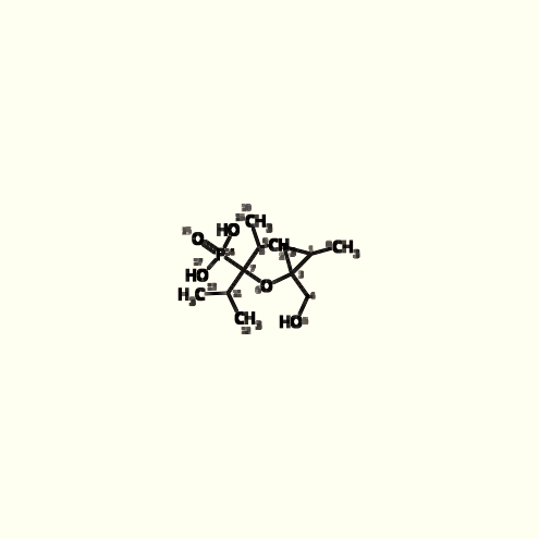 CC1CC1(CO)OC(C(C)C)(C(C)C)P(=O)(O)O